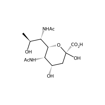 CC(=O)N[C@H]([C@@H]1O[C@](O)(C(=O)O)C[C@H](O)[C@@H]1NC(C)=O)[C@H](C)O